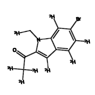 [2H]Cn1c(C(=O)C([2H])([2H])[2H])c([2H])c2c([2H])c([2H])c(Br)c([2H])c21